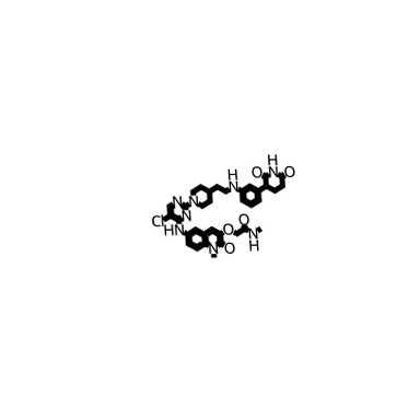 CNC(=O)COc1cc2cc(Nc3nc(N4CCC(CCNc5cccc(C6CCC(=O)NC6=O)c5)CC4)ncc3Cl)ccc2n(C)c1=O